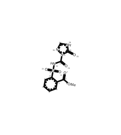 COC(=O)c1ccccc1S(=O)(=O)NC(=O)n1nc[nH]c1=O